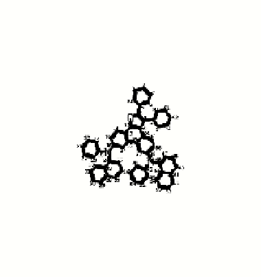 C1=CC(c2c(-c3ccccc3)oc3c4ccc(N(c5ccccc5)c5cccc6ccccc56)cc4c4cc(N(c5ccccc5)c5cccc6ccccc56)ccc4c23)=CCC1